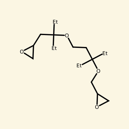 CCC(CC)(CCOC(CC)(CC)CC1CO1)OCC1CO1